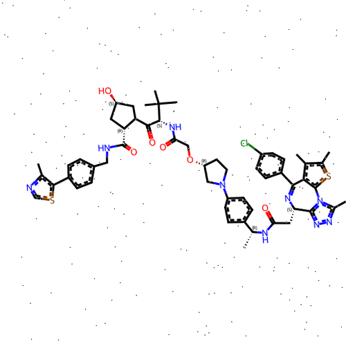 Cc1ncsc1-c1ccc(CNC(=O)[C@@H]2C[C@@H](O)CC2C(=O)[C@@H](NC(=O)CO[C@@H]2CCN(c3ccc([C@@H](C)NC(=O)C[C@@H]4N=C(c5ccc(Cl)cc5)c5c(sc(C)c5C)-n5c(C)nnc54)cc3)C2)C(C)(C)C)cc1